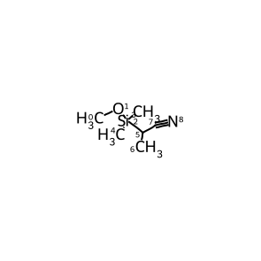 CO[Si](C)(C)C(C)C#N